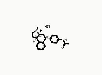 CC(=O)Nc1ccc([C@@H]2C[C@H]3[C@H](CCN3C)c3ccccc32)cc1.Cl